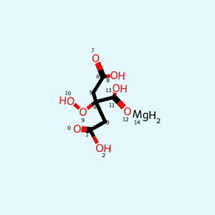 O=C(O)CC(CC(=O)O)(OO)C(=O)O.[MgH2]